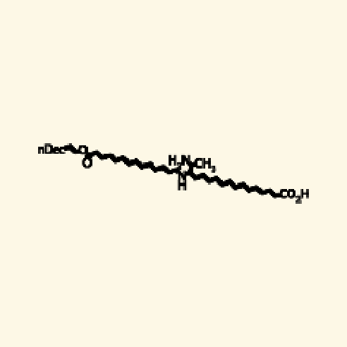 CCCCCCCCCCCCOC(=O)CCCCCCCCCCCCCNC(CCCCCCCCCCCCCC(=O)O)C(C)N